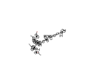 CCCCOC(=O)CCC(NC(=O)CCC(NC(=O)COCCOCCNC(=O)CCC(N)C(=O)NCCOCCOCCNC(=O)OC(C)(C)C)C(=O)NC(CCC(=O)OCCCC)C(=O)OCCCC)C(=O)OCCCC